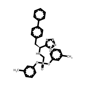 Cc1cccc(OP(=O)(CN[C@@H](Cc2ccc(-c3ccccc3)cc2)c2nnn[nH]2)Oc2cccc(C)c2)c1